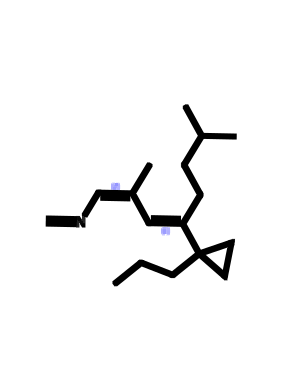 C=N/C=C(C)\C=C(/CCC(C)C)C1(CCC)CC1